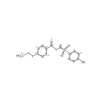 CCc1ccc(S(=O)(=O)NCC(=O)c2ccc(CCC(=O)O)cc2)cc1